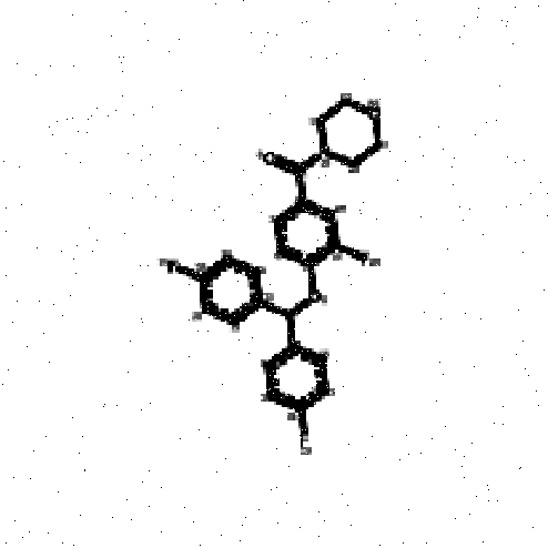 O=C(c1ccc(OC(c2ccc(F)cc2)c2ccc(F)cc2)c(F)c1)N1CCOCC1